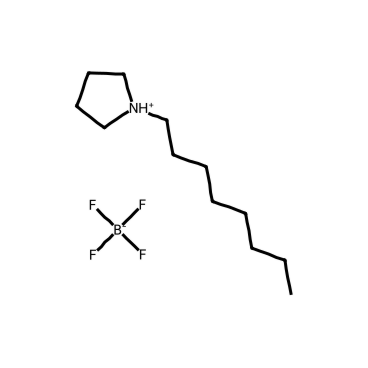 CCCCCCCC[NH+]1CCCC1.F[B-](F)(F)F